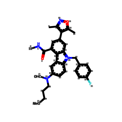 CCNC(=O)c1cc(-c2c(C)noc2C)cc2c1c1cc(N(C=O)CCCOC)ccc1n2Cc1ccc(F)cc1